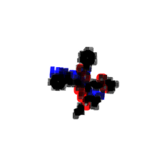 C=CCOC(=O)C(NC(=O)[C@H](CCC(=O)OC(C)(C)C)NC(=O)[C@H](Cc1c[nH]c2ccccc12)NC(=O)OCc1ccccc1)C(C)C